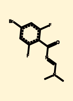 CN(C)C=NC(=O)c1c(F)cc(Br)cc1F